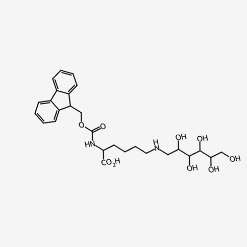 O=C(NC(CCCCNCC(O)C(O)C(O)C(O)CO)C(=O)O)OCC1c2ccccc2-c2ccccc21